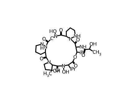 CC(O)C(=O)NC1C(=O)N2NCCCC2C(=O)N(O)CC(=O)N2NCCCC2C(=O)N2CCC(C)(O)C2C(=O)N(O)C(C(C)C)C(=O)OC1C(C)C